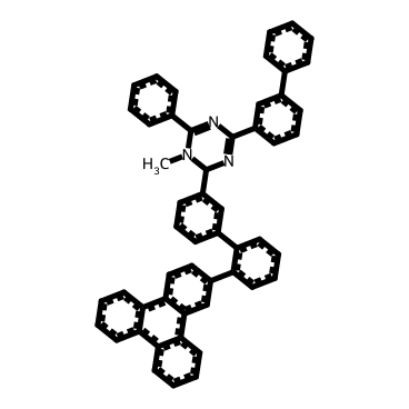 CN1C(c2ccccc2)=NC(c2cccc(-c3ccccc3)c2)=NC1c1cccc(-c2ccccc2-c2ccc3c4ccccc4c4ccccc4c3c2)c1